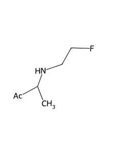 CC(=O)C(C)NCCF